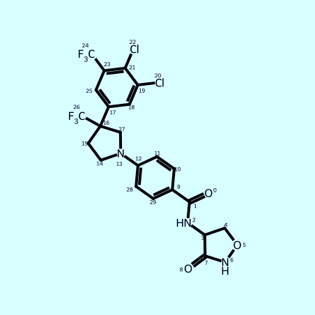 O=C(NC1CONC1=O)c1ccc(N2CCC(c3cc(Cl)c(Cl)c(C(F)(F)F)c3)(C(F)(F)F)C2)cc1